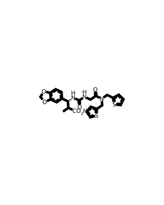 CC(C(=O)O)[C@@H](NC(=O)NCC(=O)N(Cc1cccs1)Cc1cccs1)c1ccc2c(c1)OCO2